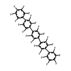 Fc1c(F)c(F)c(-c2c(F)c(F)c(-c3c(F)c(F)c(-c4c(F)c(F)c(-c5c(F)c(F)c(F)c(F)c5F)c(F)c4F)c(F)c3F)c(F)c2F)c(F)c1F